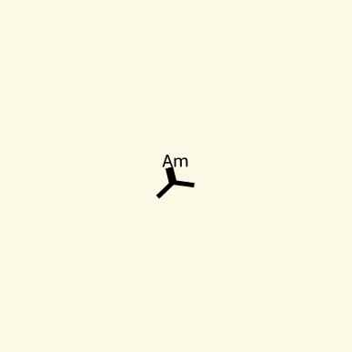 C[C](C)=[Am]